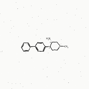 CN1CC[C@@H](c2ccc(-c3ccccc3)cc2)[C@H](N)C1